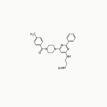 CC(=O)NCCNc1cc(N2CCN(C(=O)c3ccc(C)cc3)CC2)nc(-c2ccccc2)n1